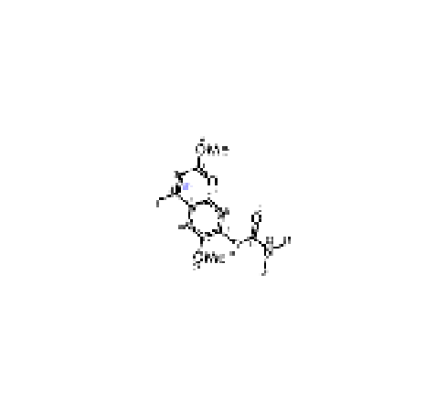 COC(=O)/C=C(/C)c1ccc(SC(=O)N(C)C)c(OC)c1